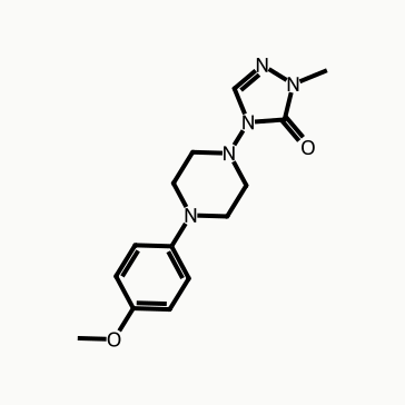 COc1ccc(N2CCN(n3cnn(C)c3=O)CC2)cc1